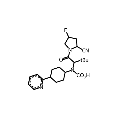 CC(C)(C)C(C(=O)N1CC(F)CC1C#N)N(C(=O)O)C1CCC(c2ccccn2)CC1